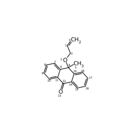 C=CCOC1(C)c2ccccc2C(=O)c2ccccc21